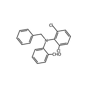 O=Cc1ccccc1N(Cc1ccccc1)c1c(Cl)cccc1Cl